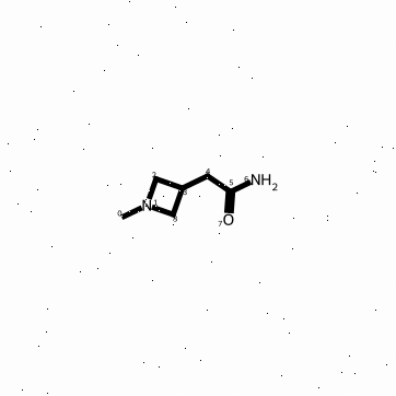 CN1CC(CC(N)=O)C1